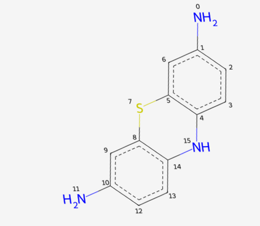 Nc1ccc2c(c1)Sc1cc(N)ccc1N2